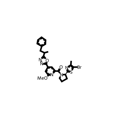 COc1cc(-c2nnc([C](C)Cc3ccccc3)o2)cc(C(=O)N2CCC[C@@H]2c2nc(C)c(Br)s2)n1